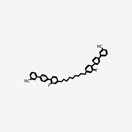 N#Cc1cccc(-c2ccc(-c3ccc(CCCCCCCCCc4ccc(-c5ccc(-c6cccc(C#N)c6)cc5)c(F)c4)cc3F)cc2)c1